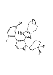 Fc1ccc(F)c(-c2ccnc(C3CCC(F)(F)C3)c2-c2nc3c([nH]2)COCC3)c1